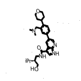 CC(C)[C@H](CO)CNC(=O)c1c[nH]c2ncc(-c3ccc(C4CCOCC4)c(CN(C)C)c3)cc12